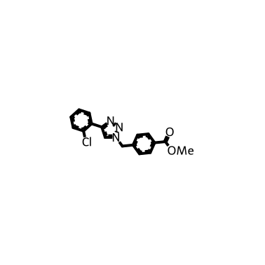 COC(=O)c1ccc(Cn2cc(-c3ccccc3Cl)nn2)cc1